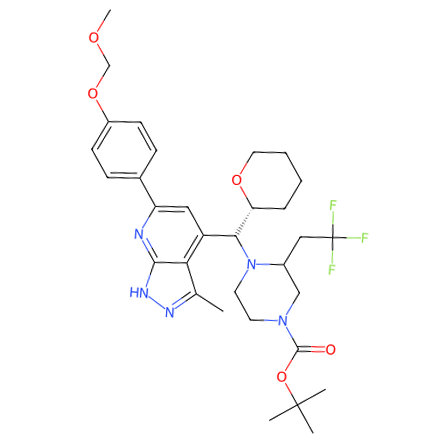 COCOc1ccc(-c2cc(C([C@H]3CCCCO3)N3CCN(C(=O)OC(C)(C)C)CC3CC(F)(F)F)c3c(C)n[nH]c3n2)cc1